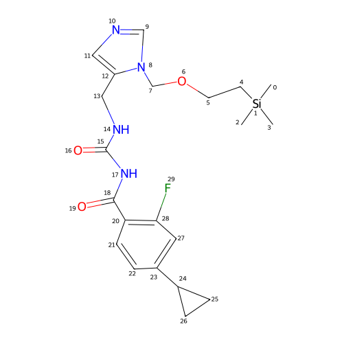 C[Si](C)(C)CCOCn1cncc1CNC(=O)NC(=O)c1ccc(C2CC2)cc1F